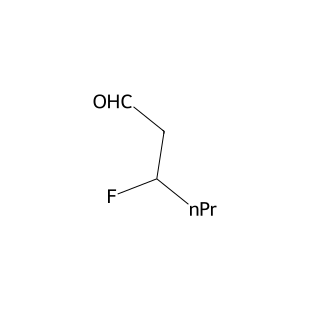 CCCC(F)CC=O